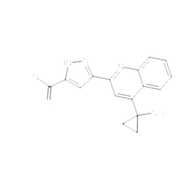 NC(=O)c1cc(-c2cc(C3(N)CC3)c3ccccc3n2)n[nH]1